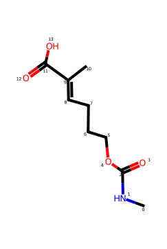 CNC(=O)OCCC/C=C(\C)C(=O)O